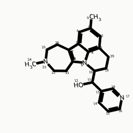 Cc1cc2c3c(c1)c1c(n3C(C(O)c3cccnc3)CC2)CCN(C)CC1